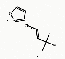 FC(F)(F)C=CCl.c1ccoc1